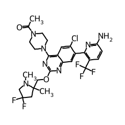 CC(=O)N1CCN(c2nc(OCC3(C)CC(F)(F)CN3C)nc3cc(-c4nc(N)ccc4C(F)(F)F)c(Cl)cc23)CC1